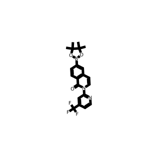 CC1(C)OB(c2ccc3c(=O)n(-c4cc(C(F)(F)F)ccn4)ccc3c2)OC1(C)C